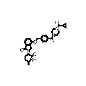 C=C1CC[C@H](N2Cc3c(OCc4ccc([C@@H](C)N5CCN(C(=O)C6CC6)CC5)cc4)cccc3C2=O)C(=O)N1